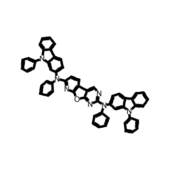 c1ccc(N(c2ccc3c4ccccc4n(-c4ccccc4)c3c2)c2ccc3c(n2)oc2nc(N(c4ccccc4)c4ccc5c6ccccc6n(-c6ccccc6)c5c4)ncc23)cc1